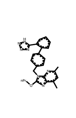 CCCOc1nc2c(C)cc(C)nc2n1Cc1ccc(-c2ccccc2-c2nnn[nH]2)cc1